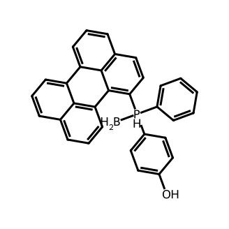 B[PH](c1ccccc1)(c1ccc(O)cc1)c1ccc2cccc3c4cccc5cccc(c1c23)c54